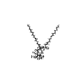 CCCCCCCCCCCCCCCC(=O)OC[C@H](COP(=O)(O)C(C(=O)O)N(CC)CC(=O)O)OC(=O)CCCCCCCCCCCCCCC